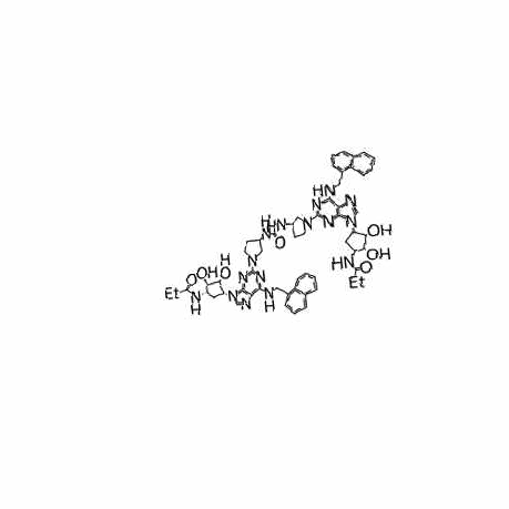 CCC(=O)N[C@H]1C[C@@H](n2cnc3c(NCc4cccc5ccccc45)nc(N4CC[C@@H](NC(=O)N[C@@H]5CCN(c6nc(NCc7cccc8ccccc78)c7ncn([C@@H]8C[C@H](NC(=O)CC)[C@@H](O)[C@H]8O)c7n6)C5)C4)nc32)[C@H](O)[C@@H]1O